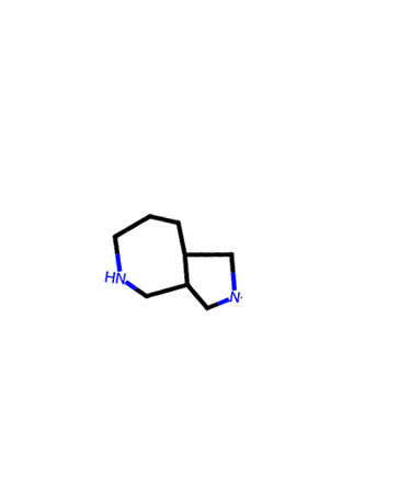 C1CNCC2C[N]CC2C1